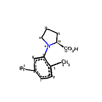 Cc1ccc(C(C)C)cc1N1CCC[C@H]1C(=O)O